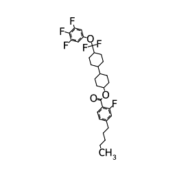 CCCCCc1ccc(C(=O)OC2CCC(C3CCC(C(F)(F)Oc4cc(F)c(F)c(F)c4)CC3)CC2)c(F)c1